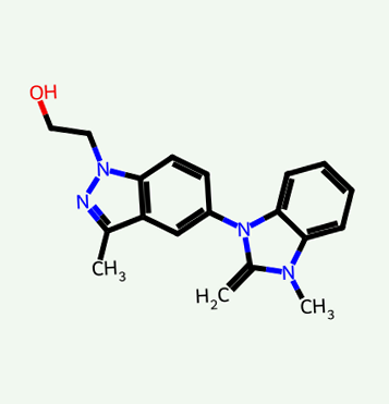 C=C1N(C)c2ccccc2N1c1ccc2c(c1)c(C)nn2CCO